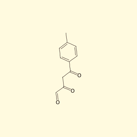 Cc1ccc(C(=O)CC(=O)C=O)cc1